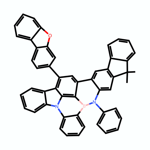 CC1(C)c2ccccc2-c2cc3c(cc21)N(c1ccccc1)B1c2ccccc2-n2c4ccccc4c4c(-c5ccc6c(c5)oc5ccccc56)cc-3c1c42